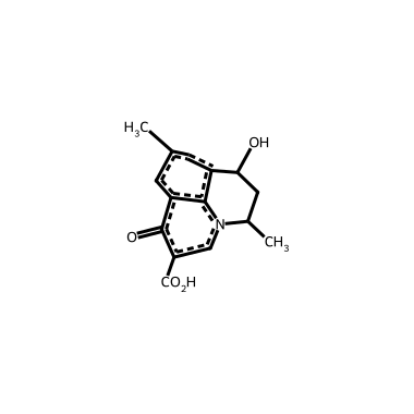 Cc1cc2c3c(c1)c(=O)c(C(=O)O)cn3C(C)CC2O